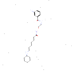 CN(CCONC(=O)CCCCCCNC1CCCCC1)C(=O)c1cccc(N)c1